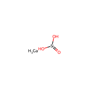 O=[Si](O)O.[GaH3]